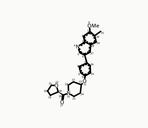 COc1cc2ncc(-c3ccc(OC4CCN(C(=O)[C@H]5CCCO5)CC4)cc3)cc2cc1C